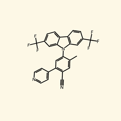 Cc1cc(C#N)c(-c2ccncc2)cc1-n1c2cc(C(F)(F)F)ccc2c2ccc(C(F)(F)F)cc21